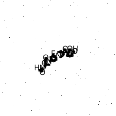 CC(=O)NCC1CN(c2ccc(N3CCN(C(=O)c4cccc(=O)n4O)CC3)c(F)c2)C(=O)O1